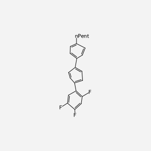 CCCCCc1ccc(-c2ccc(-c3cc(F)c(F)cc3F)cc2)cc1